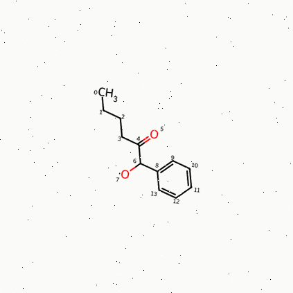 CCCCC(=O)C([O])c1ccccc1